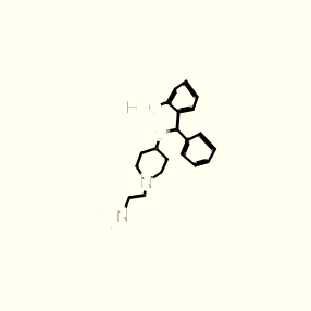 Cc1ccccc1C(OC1CCN(CCN)CC1)c1ccccc1